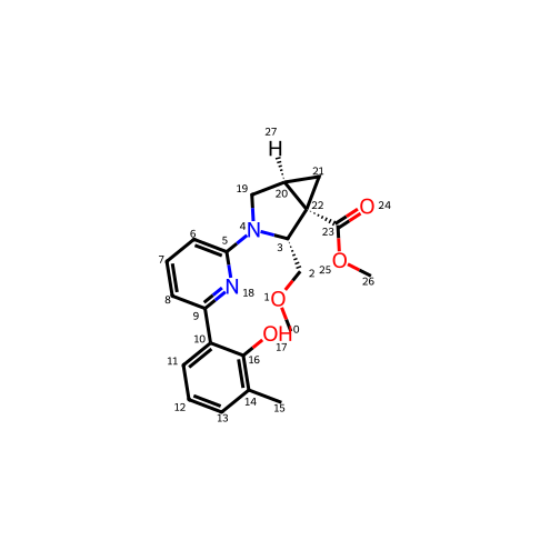 COC[C@@H]1N(c2cccc(-c3cccc(C)c3O)n2)C[C@H]2C[C@]21C(=O)OC